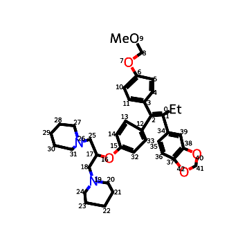 CCC(=C(c1ccc(OCOC)cc1)c1ccc(OC(CN2CCCCC2)CN2CCCCC2)cc1)c1ccc2c(c1)OCO2